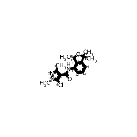 Cc1nn(C)c(Cl)c1C(=O)Nc1cccc2c1[C@H](C)OC2(C)C